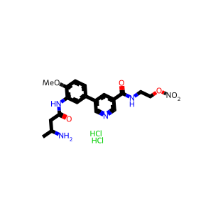 COc1ccc(-c2cncc(C(=O)NCCO[N+](=O)[O-])c2)cc1NC(=O)CC(C)N.Cl.Cl